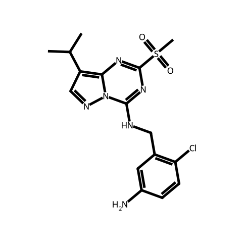 CC(C)c1cnn2c(NCc3cc(N)ccc3Cl)nc(S(C)(=O)=O)nc12